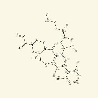 C=CC(=O)N1CCN2C(=O)c3c(N4C[C@@H](N(C)CCOC)C[C@@H]4C)nc(-c4c(O)cccc4F)c(Cl)c3OC[C@H]2C1